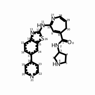 O=C(NC1CCNC1)C1=CC(Nc2nc3ccc(-c4ccncc4)cc3s2)=NC=CC1